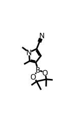 Cc1c(B2OC(C)(C)C(C)(C)O2)cc(C#N)n1C